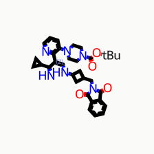 CC(C)(C)OC(=O)N1CCN(c2cccnc2/C(=C/NC2CC(CN3C(=O)c4ccccc4C3=O)C2)C(=N)C2CC2)CC1